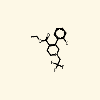 CCOC(=O)C1=C(c2ccccc2Cl)CN(CC(F)(F)F)CC1